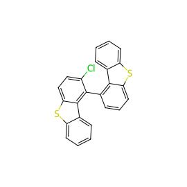 Clc1ccc2sc3ccccc3c2c1-c1cccc2sc3ccccc3c12